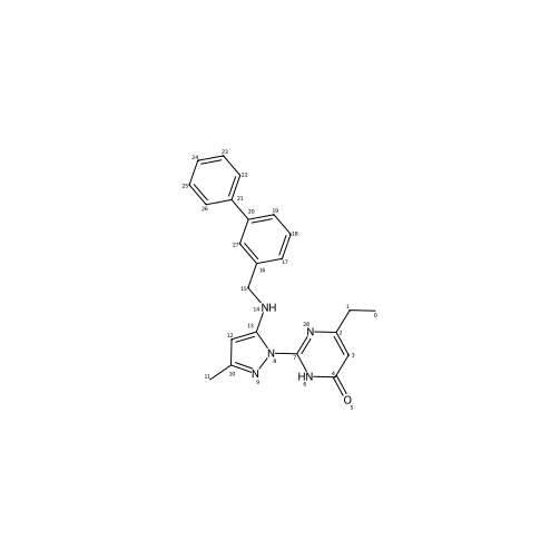 CCc1cc(=O)[nH]c(-n2nc(C)cc2NCc2cccc(-c3ccccc3)c2)n1